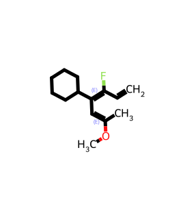 C=C/C(F)=C(\C=C(/C)OC)C1CCCCC1